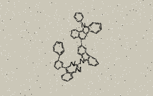 c1ccc(-c2cccc(-c3nc(-n4c5ccccc5c5cc(-c6cc7c8ccccc8n(-c8ccccc8)c7c7ccccc67)ccc54)nc4ccccc34)c2)cc1